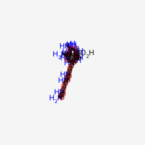 N=C(N)NCCC[C@@H]1NC(=O)[C@@H]2CSSC[C@H](NC(=O)[C@H](CC(=O)O)NC(=O)CNC1=O)C(=O)N[C@@H](Cc1ccccc1)C(=O)N[C@H](C(=O)NCCOCCOCCOCCNC(=O)COCC(=O)NCCOCCOCCOCCNC(=O)COCC(N)=O)CSCC(=O)N[C@@H](CCCCN)C(=O)N2